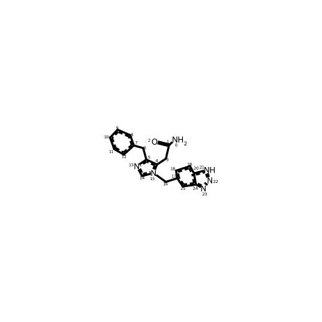 NC(=O)Cc1c(Cc2ccccc2)ncn1Cc1ccc2[nH]nnc2c1